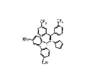 CC(C)(C)c1ccc2c(c1)-c1cc(C(C)(C)C)ccc1[CH]2[Zr]([C]1=CC=CC1)=[C](c1cccc(C(F)(F)F)c1)c1cccc(C(F)(F)F)c1